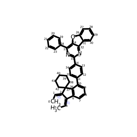 C/C=C1\C(=C/C)c2cccc(-c3ccc(-c4nc(-c5ccccc5)c5oc6ccccc6c5n4)cc3)c2C12CCCCC2